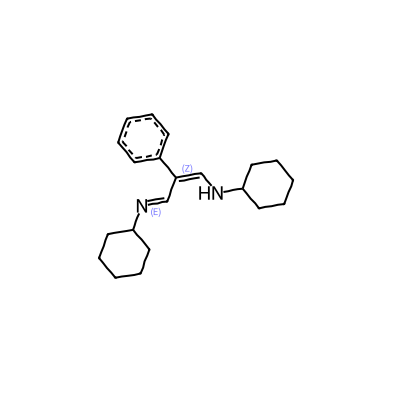 C(/NC1CCCCC1)=C(/C=N/C1CCCCC1)c1ccccc1